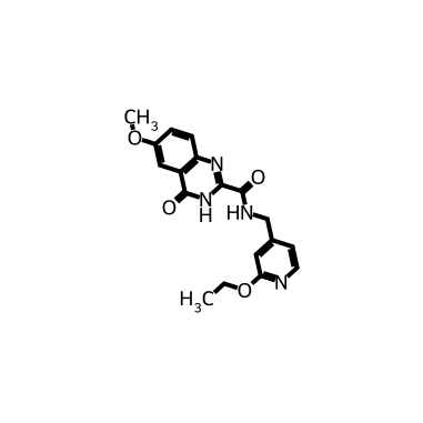 CCOc1cc(CNC(=O)c2nc3ccc(OC)cc3c(=O)[nH]2)ccn1